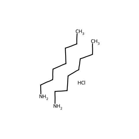 CCCCCCCN.CCCCCCCN.Cl